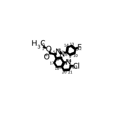 CCOC(=O)c1nn(-c2ccc(F)cc2)c2c1CCc1ccc(Cl)nc1-2